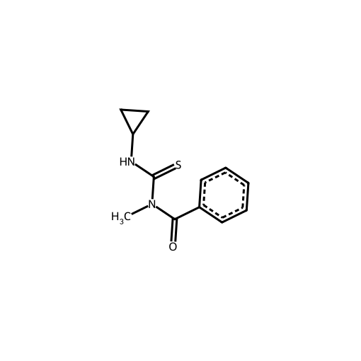 CN(C(=O)c1ccccc1)C(=S)NC1CC1